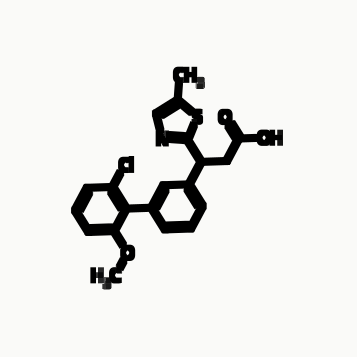 COc1cccc(Cl)c1-c1cccc(C(CC(=O)O)c2ncc(C)s2)c1